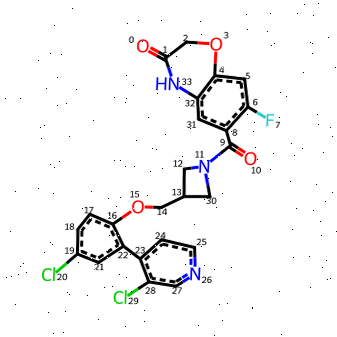 O=C1COc2cc(F)c(C(=O)N3CC(COc4ccc(Cl)cc4-c4ccncc4Cl)C3)cc2N1